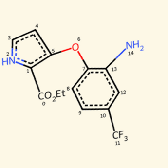 CCOC(=O)c1[nH]ccc1Oc1ccc(C(F)(F)F)cc1N